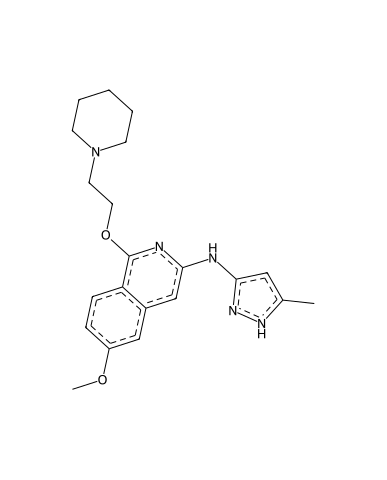 COc1ccc2c(OCCN3CCCCC3)nc(Nc3cc(C)[nH]n3)cc2c1